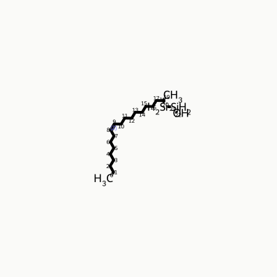 CCCCCCCC/C=C\CCCCCCCCC(C)[SiH2][SiH2]O